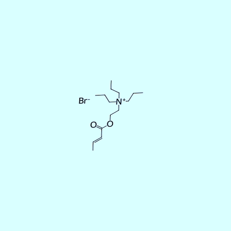 CC=CC(=O)OCC[N+](CCC)(CCC)CCC.[Br-]